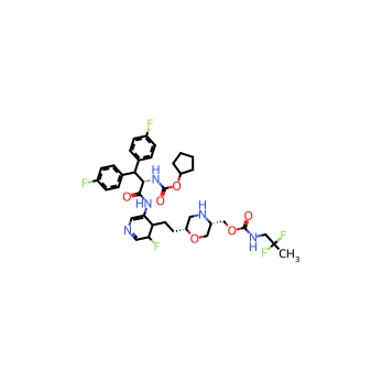 CC(F)(F)CNC(=O)OC[C@@H]1CO[C@H](CCC2C(NC(=O)[C@@H](NC(=O)OC3CCCC3)C(c3ccc(F)cc3)c3ccc(F)cc3)=CN=CC2F)CN1